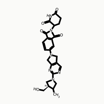 CC1CN(c2ncc3c(n2)CN(c2ccc4c(c2)C(=O)N(C2CCC(=O)NC2=O)C4=O)C3)C[C@@H]1CO